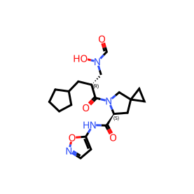 O=CN(O)C[C@@H](CC1CCCC1)C(=O)N1CC2(CC2)C[C@H]1C(=O)Nc1ccno1